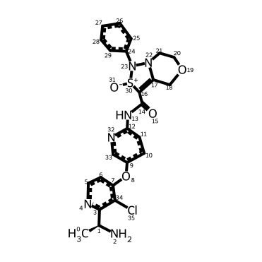 C[C@H](N)c1nccc(Oc2ccc(NC(=O)C3=C4COCCN4N(c4ccccc4)[S+]3[O-])nc2)c1Cl